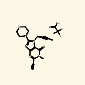 C#Cc1nc2nc(N3CCNCC3)n(CC#CC)c2c(=O)n1C.O=C(O)C(F)(F)F